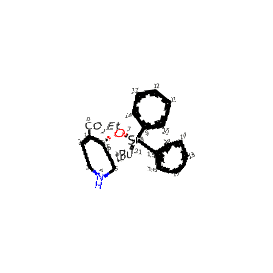 CCOC(=O)[C@@H]1CCNC[C@H]1O[Si](c1ccccc1)(c1ccccc1)C(C)(C)C